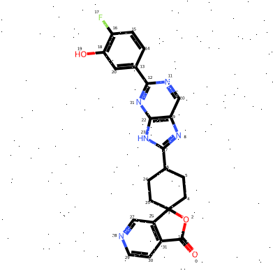 O=C1OC2(CCC(c3nc4cnc(-c5ccc(F)c(O)c5)nc4[nH]3)CC2)c2cnccc21